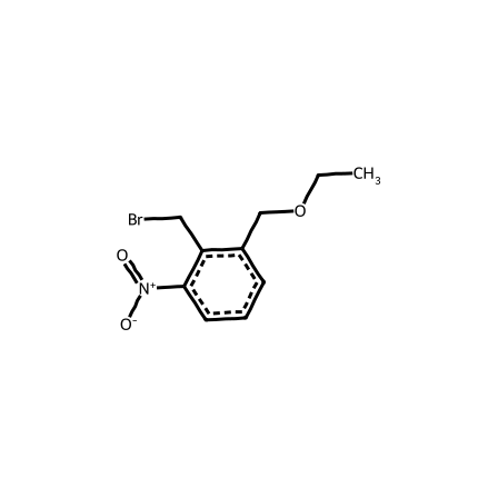 CCOCc1cccc([N+](=O)[O-])c1CBr